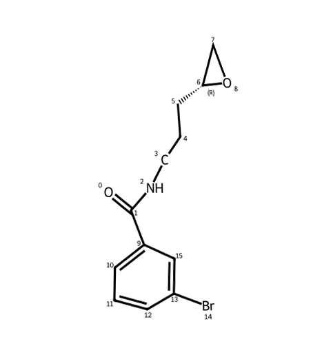 O=C(NCCC[C@@H]1CO1)c1cccc(Br)c1